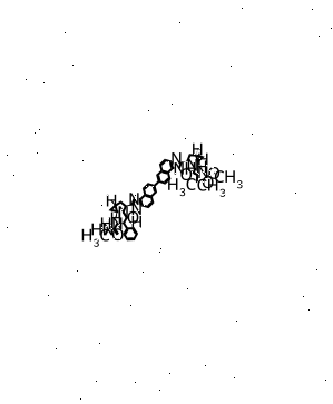 CNC(=O)N[C@@H](C(=O)N1[C@@H]2C[C@@H]2C[C@H]1c1nc2c(ccc3cc(-c4ccc5c(ccc6nc([C@@H]7C[C@H]8C[C@H]8N7C(=O)[C@@H](NC(=O)OC)C(C)C)[nH]c65)c4)ccc32)[nH]1)c1ccccc1